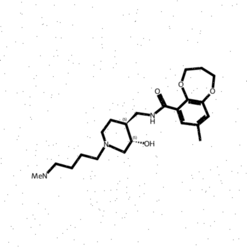 CNCCCCN1CC[C@@H](CNC(=O)c2cc(C)cc3c2OCCCO3)[C@H](O)C1